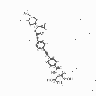 CC(=O)N1CCC(N(CC(=O)Nc2ccc(C#Cc3ccc(C(=O)N[C@H](C(=O)NO)[C@@H](C)O)cc3)cc2)C2CC2)CC1